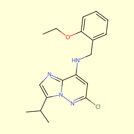 CCOc1ccccc1CNc1cc(Cl)nn2c(C(C)C)cnc12